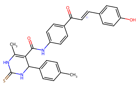 CC1=C(C(=O)Nc2ccc(C(=O)/C=C/c3ccc(O)cc3)cc2)C(c2ccc(C)cc2)NC(=S)N1